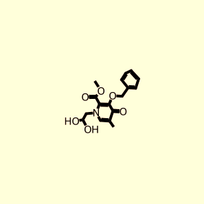 COC(=O)c1c(OCc2ccccc2)c(=O)c(C)cn1CC(O)O